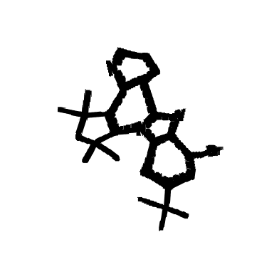 CC(C)(C)c1cc(Br)c2nc3c4cccnc4c4c(n3c2c1)C(C)(C)CC4(C)C